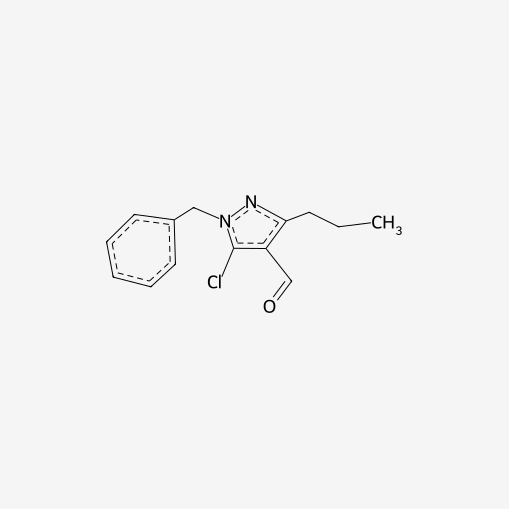 CCCc1nn(Cc2ccccc2)c(Cl)c1C=O